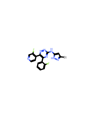 CCc1cc(Nc2nnc(-c3ccncc3F)c(-c3ccccc3F)n2)[nH]n1